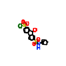 O=C1c2cc(S(=O)(=O)Cl)ccc2-c2ccc(S(=O)(=O)NC3CC4CCC3C4)cc21